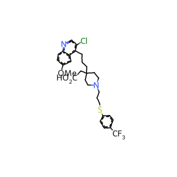 COc1ccc2ncc(Cl)c(CCCC3(CC(=O)O)CCN(CCCSc4ccc(C(F)(F)F)cc4)CC3)c2c1